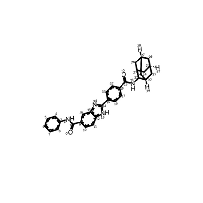 O=C(Nc1ccccc1)c1ccc2[nH]c(-c3ccc(C(=O)NC4C5C[C@H]6C[C@@H](C5)C[C@@H]4C6)cc3)nc2c1